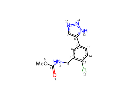 COC(=O)NCc1cc(-c2cnn[nH]2)ccc1Cl